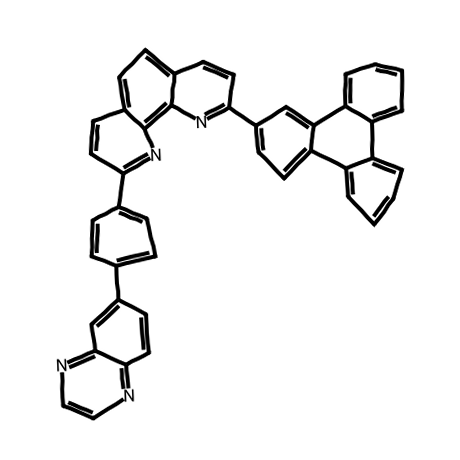 c1ccc2c(c1)c1ccccc1c1cc(-c3ccc4ccc5ccc(-c6ccc(-c7ccc8nccnc8c7)cc6)nc5c4n3)ccc21